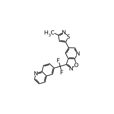 Cc1cc(-c2cnc3onc(C(F)(F)c4ccc5ncccc5c4)c3c2)sn1